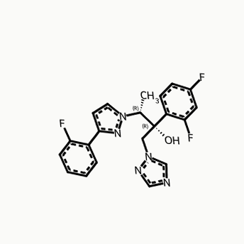 C[C@@H](n1ccc(-c2ccccc2F)n1)[C@](O)(Cn1cncn1)c1ccc(F)cc1F